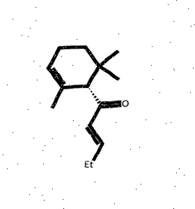 CC/C=C/C(=O)[C@@H]1C(C)=CCCC1(C)C